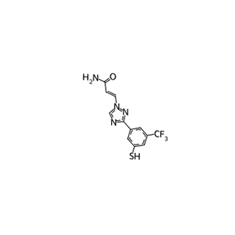 NC(=O)/C=C/n1cnc(-c2cc(S)cc(C(F)(F)F)c2)n1